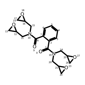 O=C(c1ccccc1C(=O)N(CC1CO1)CC1CO1)N(CC1CO1)CC1CO1